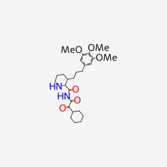 COc1cc(CCCC2CCCNC2C(=O)NC(=O)C(=O)C2CCCCC2)cc(OC)c1OC